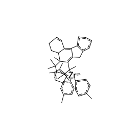 [CH2]=[Zr]([C]1=C(C)C=CC1)([c]1ccc(C)cc1)([c]1ccc(C)cc1)[C]1(C)C2=C3Cc4ccccc4C3=C3C=CCCC3C2(C)C(C)(C)C(C)(C)C1(C)C